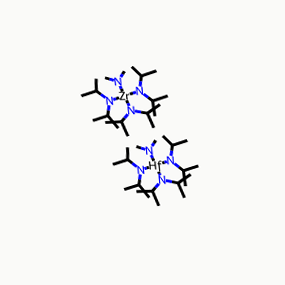 CC(C)[N](C(C)C)[Hf]([N](C)C)([N](C(C)C)C(C)C)[N](C(C)C)C(C)C.CC(C)[N](C(C)C)[Zr]([N](C)C)([N](C(C)C)C(C)C)[N](C(C)C)C(C)C